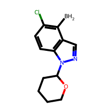 Bc1c(Cl)ccc2c1cnn2C1CCCCO1